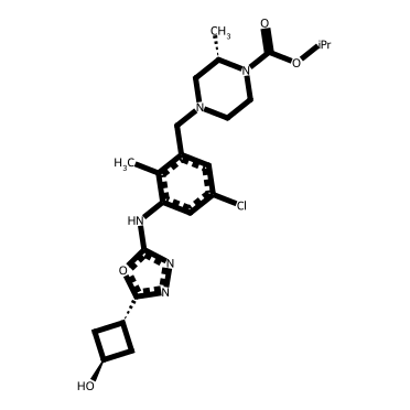 Cc1c(CN2CCN(C(=O)OC(C)C)[C@@H](C)C2)cc(Cl)cc1Nc1nnc([C@H]2C[C@H](O)C2)o1